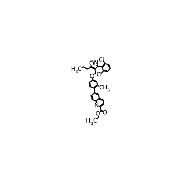 CCCc1onc(-c2c(Cl)cccc2Cl)c1COc1ccc(-c2ccc3nc(C(=O)OCC)ccc3c2)c(C)c1